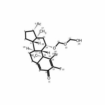 CC(=O)[C@H]1CC[C@H]2[C@@H]3CCC4=CC(=O)C(F)=C(Br)[C@]4(C)[C@H]3[C@@H](OCOCO)C[C@]12C